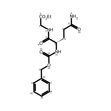 CCOC(=O)CNC(=O)[C@H](CCC(N)=O)NC(=O)OCc1ccccc1